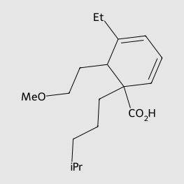 CCC1=CC=CC(CCCC(C)C)(C(=O)O)C1CCOC